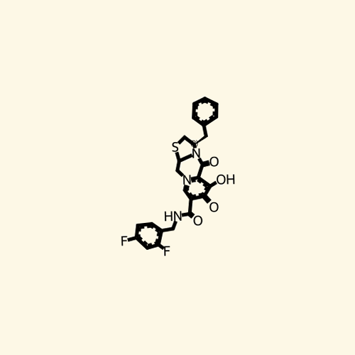 O=C(NCc1ccc(F)cc1F)c1cn2c(c(O)c1=O)C(=O)N1C(C2)SC[C@H]1Cc1ccccc1